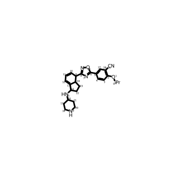 CC(C)Oc1ccc(-c2nc(C3C=CC=C4C(NC5CCNCC5)CCC43)no2)cc1C#N